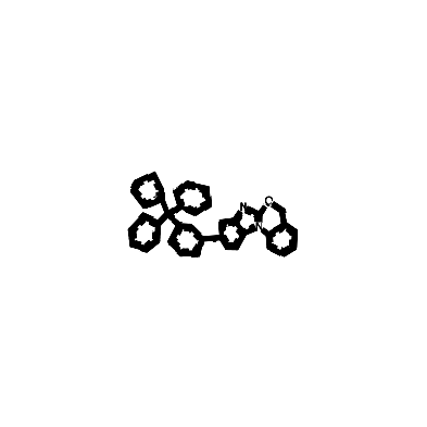 c1ccc(C(c2ccccc2)(c2ccccc2)c2cccc(-c3ccc4c(c3)nc3n4-c4ccccc4CO3)c2)cc1